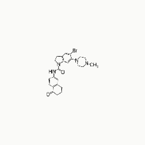 CN1CCN(c2cc3c(cc2Br)CCN3C(=O)Nc2ccc3c(c2)CCCC3=O)CC1